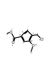 COC(=O)c1ccc(CCl)c(OC)c1